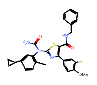 COc1ccc(-c2nc(N(C(N)=O)c3cc(C4CC4)ccc3C)sc2C(=O)NCc2ccccc2)cc1F